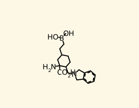 NC1(C(=O)O)CC(CCB(O)O)CCC1CN1Cc2ccccc2C1